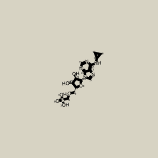 O=P(O)(O)COC[C@H]1O[C@@H](n2cnc3c(NC4CC4)ncnc32)[C@H](O)[C@@H]1O